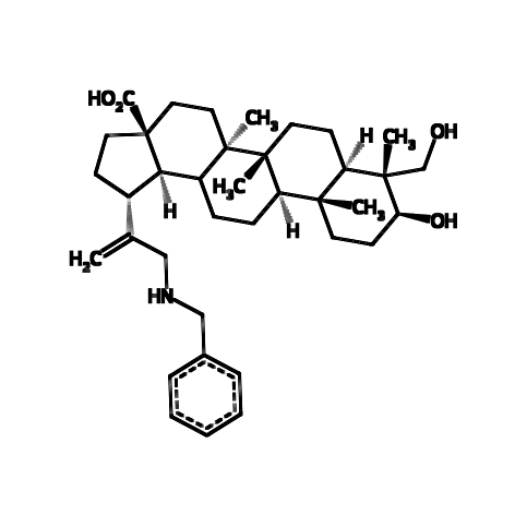 C=C(CNCc1ccccc1)[C@@H]1CC[C@]2(C(=O)O)CC[C@]3(C)C(CC[C@@H]4[C@@]5(C)CC[C@H](O)[C@@](C)(CO)[C@@H]5CC[C@]43C)[C@@H]12